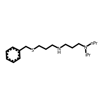 CCCN(CCCNCCCSCc1ccccc1)C(C)C